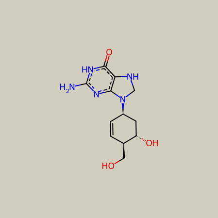 Nc1nc2c(c(=O)[nH]1)NCN2[C@@H]1C=C[C@H](CO)[C@@H](O)C1